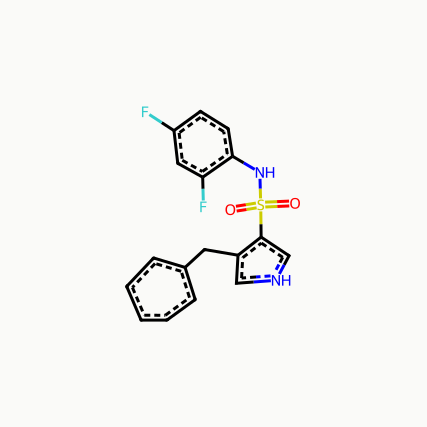 O=S(=O)(Nc1ccc(F)cc1F)c1c[nH]cc1Cc1ccccc1